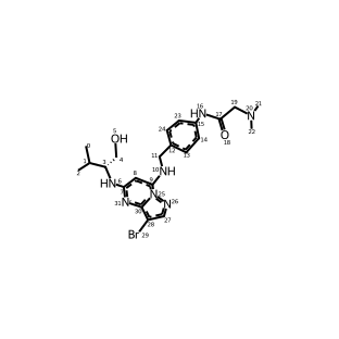 CC(C)[C@H](CO)Nc1cc(NCc2ccc(NC(=O)CN(C)C)cc2)n2ncc(Br)c2n1